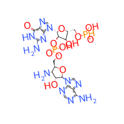 Nc1nc2c(ncn2[C@@H]2O[C@H](CO[PH](=O)O)[C@@H](O)[C@H]2OP(=O)(O)OC[C@H]2O[C@@H](n3cnc4c(N)ncnc43)[C@H](O)[C@@H]2N)c(=O)[nH]1